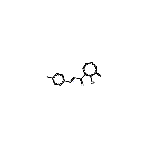 Cc1ccc(/C=C/C(=O)c2ccccc(=O)c2O)cc1